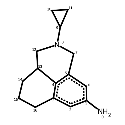 Nc1cc2c3c(c1)CN(C1CC1)CC3CCC2